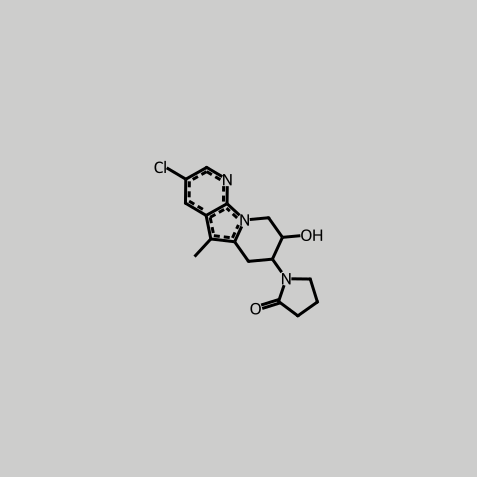 Cc1c2n(c3ncc(Cl)cc13)CC(O)C(N1CCCC1=O)C2